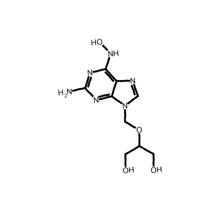 Nc1nc(NO)c2ncn(COC(CO)CO)c2n1